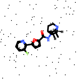 C[C@H]1[C@H](NC(=O)c2ccc(-c3ncccc3F)o2)C2CCN1CC2